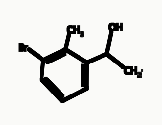 [CH2]C(O)c1cccc(Br)c1C